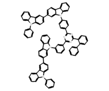 c1ccc(-c2ccccc2-c2nc(-c3ccc(-n4c5ccccc5c5ccc(-c6ccc7c(c6)c6ccccc6n7-c6ccccc6)cc54)cc3)nc(-c3cccc(-n4c5ccccc5c5ccc(-c6ccc7c(c6)c6ccccc6n7-c6ccccc6)cc54)c3)n2)cc1